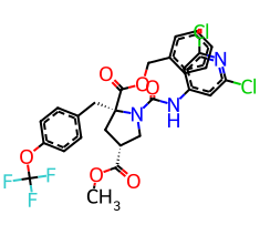 COC(=O)[C@H]1CN(C(=O)Nc2cc(Cl)nc(Cl)c2)[C@](Cc2ccc(OC(F)(F)F)cc2)(C(=O)OCc2ccccc2)C1